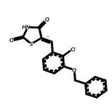 O=C1NC(=O)/C(=C/c2cccc(OCc3ccccc3)c2Cl)S1